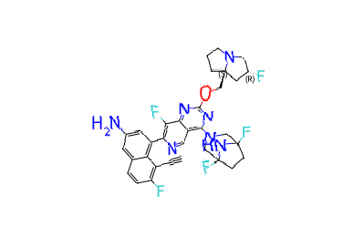 C#Cc1c(F)ccc2cc(N)cc(-c3ncc4c(N5CC6(F)CCC(F)(C5)N6)nc(OC[C@@]56CCCN5C[C@H](F)C6)nc4c3F)c12